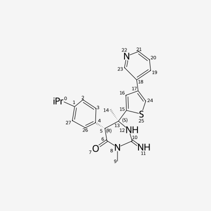 CC(C)c1ccc([C@H]2C(=O)N(C)C(=N)N[C@]2(C)c2cc(-c3cccnc3)cs2)cc1